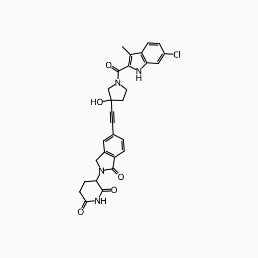 Cc1c(C(=O)N2CCC(O)(C#Cc3ccc4c(c3)CN(C3CCC(=O)NC3=O)C4=O)C2)[nH]c2cc(Cl)ccc12